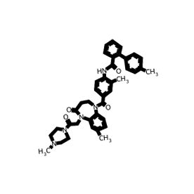 Cc1ccc(-c2ccccc2C(=O)Nc2ccc(C(=O)N3CCC(=O)N(CC(=O)N4CCN(C)CC4)c4cc(C)ccc43)cc2C)cc1